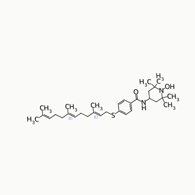 CC(C)=CCC/C(C)=C/CC/C(C)=C/CSc1ccc(C(=O)NC2CC(C)(C)N(O)C(C)(C)C2)cc1